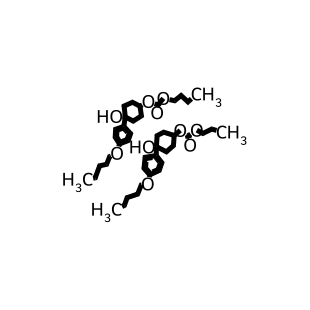 CCCCCOc1ccc(C2(O)CCC(OC(=O)OCCC)CC2)cc1.CCCCCOc1ccc(C2(O)CCC(OC(=O)OCCCC)CC2)cc1